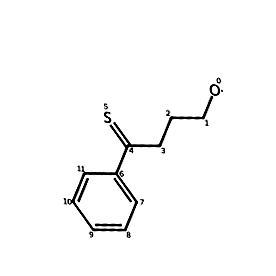 [O]CCCC(=S)c1ccccc1